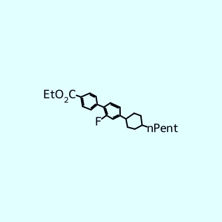 CCCCCC1CCC(c2ccc(-c3ccc(C(=O)OCC)cc3)c(F)c2)CC1